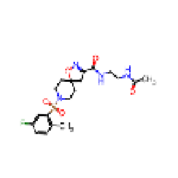 CC(=O)NCCNC(=O)C1=NOC2(CCN(S(=O)(=O)c3cc(F)ccc3C)CC2)C1